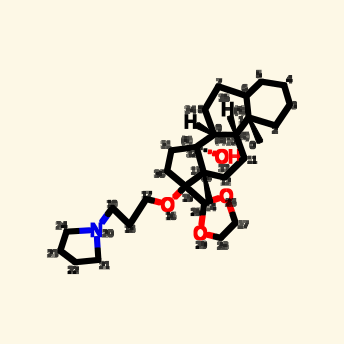 C[C@]12CCCCC1CC[C@@H]1[C@H]2CC[C@]2(C)C(OCCCN3CCCC3)(C3OCCO3)CC[C@@]12O